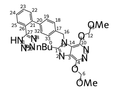 CCCCc1nc2c(OCOC)nnc(OCOC)c2n1Cc1ccc(-c2ccccc2-c2nnn[nH]2)cc1